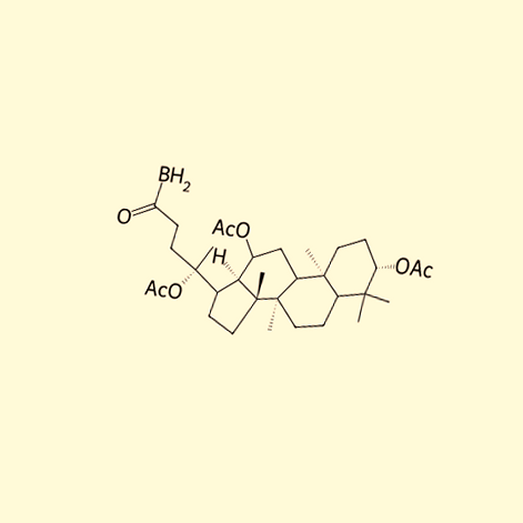 BC(=O)CC[C@](C)(OC(C)=O)C1CC[C@]2(C)[C@@H]1C(OC(C)=O)CC1[C@@]3(C)CC[C@H](OC(C)=O)C(C)(C)C3CC[C@]12C